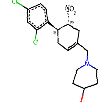 O=[N+]([O-])[C@@H]1CC(CN2CCC(O)CC2)=CC[C@H]1c1ccc(Cl)cc1Cl